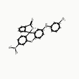 CCN(CC)c1ccc2c(c1)Oc1ccc(Nc3cccc(C(F)(F)F)c3)cc1C21OC(=O)c2ccccc21